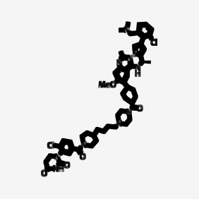 COc1cc2nc(C)nc(N[C@H](C)c3cc(-c4c(Cl)cccc4CN(C)C)cs3)c2cc1C1CCC(C(=O)N2CCN(CCCCC3CCN(C(=O)c4ccc(Cl)c(N5CCC(=O)NC5=O)c4)CC3)CC2)CC1